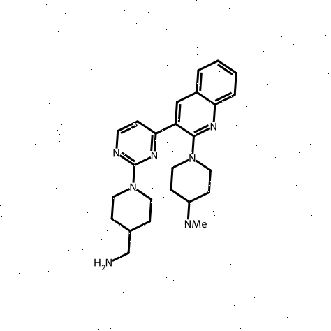 CNC1CCN(c2nc3ccccc3cc2-c2ccnc(N3CCC(CN)CC3)n2)CC1